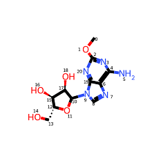 COc1nc(N)c2ncn(C3O[C@H](CO)[C@@H](O)[C@H]3O)c2n1